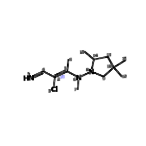 C/C(=C(/Cl)C=N)N(C)N1CC(C)(C)CC1C